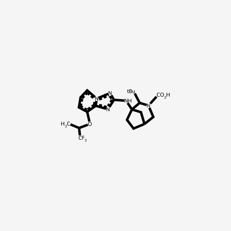 CC(Oc1cccn2nc(NC34CCC(CN(C(=O)O)C3C(C)(C)C)C4)nc12)C(F)(F)F